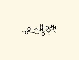 CCOC(=O)C=C1C=CC(NC(=O)c2oc3nn(C)c(C)c3c2C)C=C1